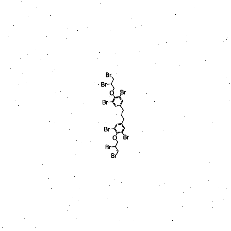 BrCC(Br)COc1c(Br)cc(CCCc2cc(Br)c(OCC(Br)CBr)c(Br)c2)cc1Br